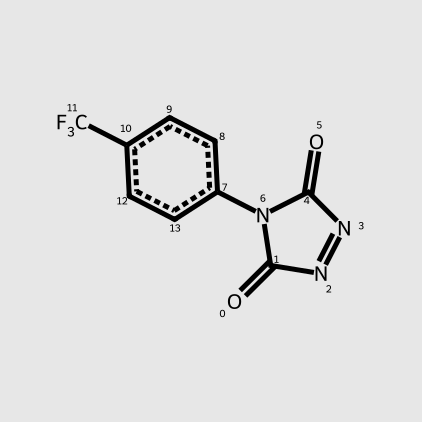 O=C1N=NC(=O)N1c1ccc(C(F)(F)F)cc1